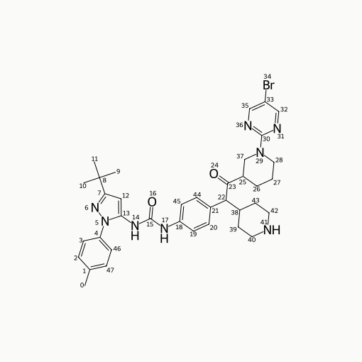 Cc1ccc(-n2nc(C(C)(C)C)cc2NC(=O)Nc2ccc(C(C(=O)C3CCCN(c4ncc(Br)cn4)C3)C3CCNCC3)cc2)cc1